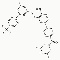 Cc1cc(COc2cc(-c3ccc(C(=O)N4CC(C)NC(C)C4)cc3)cnc2N)nc(-c2ccc(C(F)(F)F)cn2)n1